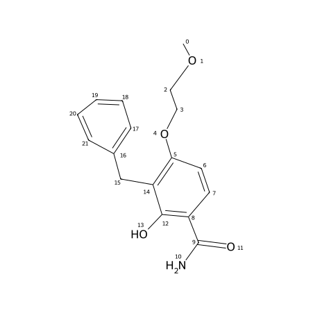 COCCOc1ccc(C(N)=O)c(O)c1Cc1ccccc1